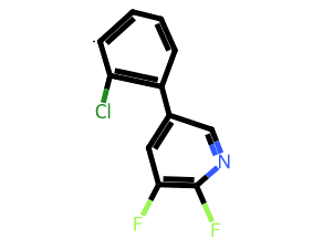 Fc1cc(-c2ccc[c]c2Cl)cnc1F